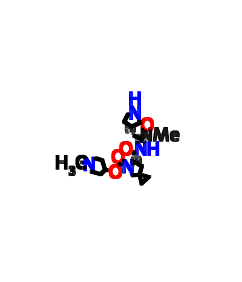 CN[C@H](C[C@@H]1CCNC1=O)NC(=O)[C@@H]1CC2(CC2)CN1C(=O)OC1CCN(C)CC1